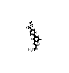 CCOC(=O)c1cnc(-c2cc(C)c3oc(CN)cc3c2)nc1